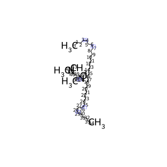 CCC/C=C\C/C=C\CCCCCCCCC(CCCCCCCC/C=C\C/C=C\CCCCC)O/N=C(/C)CCN(C)C